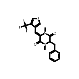 CN1C(=O)C(Cc2ccccc2)N(C)C(=O)/C1=C/c1cscc1C(F)(F)F